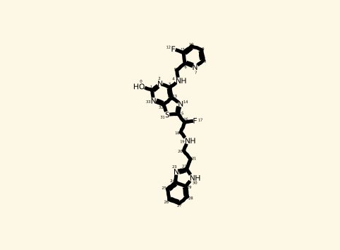 Oc1nc(NCc2ncccc2F)c2nc(C(F)CNCCc3nc4ccccc4[nH]3)sc2n1